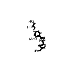 COc1cc(OCC(O)CO)ccc1-c1noc(-c2scc(CC(C)C)c2C)n1